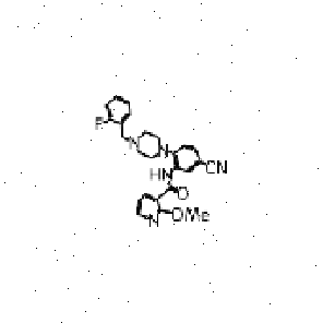 COc1ncccc1C(=O)Nc1cc(C#N)ccc1N1CCN(Cc2ccccc2F)CC1